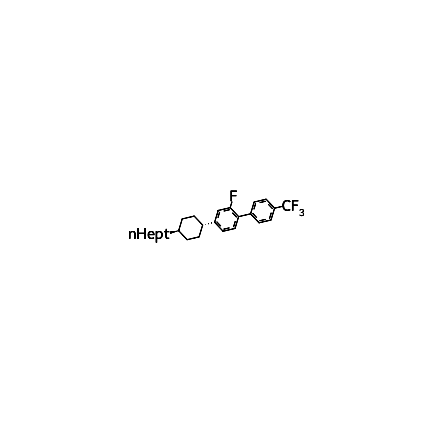 CCCCCCC[C@H]1CC[C@H](c2ccc(-c3ccc(C(F)(F)F)cc3)c(F)c2)CC1